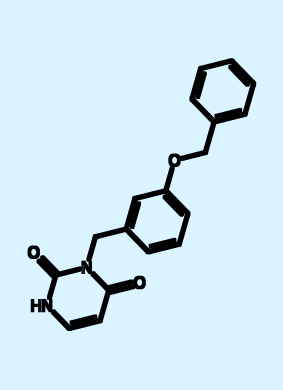 O=c1cc[nH]c(=O)n1Cc1cccc(OCc2ccccc2)c1